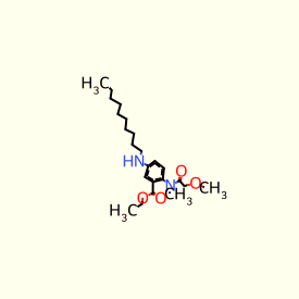 CCCCCCCCCCNc1ccc(N(C)C(=O)COC)c(C(=O)OCC)c1